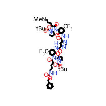 CNCCCCC(=O)Nc1cc(C(F)(F)F)cc(NC(=O)c2cc(C(=O)Nc3cc(C(F)(F)F)cc(NC(=O)CCCCNC(=O)OCc4ccccc4)c3O[C@@H]3CCN(C(=O)OC(C)(C)C)C3)ncn2)c1O[C@@H]1CCN(C(=O)OC(C)(C)C)C1